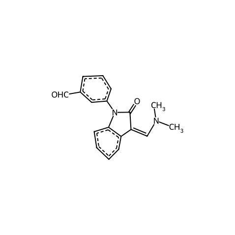 CN(C)/C=C1\C(=O)N(c2cccc(C=O)c2)c2ccccc21